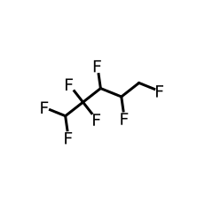 FCC(F)C(F)C(F)(F)C(F)F